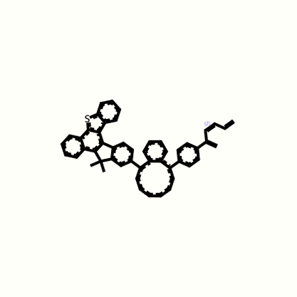 C=C/C=C\C(=C)c1ccc(-c2ccccccc(-c3ccc4c(c3)C(C)(C)c3c-4c4c5ccccc5sc4c4ccccc34)c3ccccc23)cc1